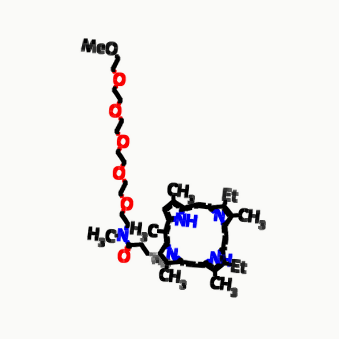 CCC1=C(C)c2cc3[nH]c(cc4nc(c(C)c5cc(C)c(cc1n2)[nH]5)[C@@H](CCC(=O)N(C)CCOCCOCCOCCOCCOCCOC)[C@@H]4C)c(C)c3CC